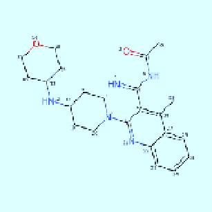 CC(=O)NC(=N)c1c(N2CCC(NC3CCOCC3)CC2)nc2ccccc2c1C